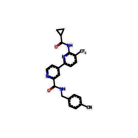 N#Cc1ccc(CNC(=O)c2cc(-c3ccc(C(F)(F)F)c(NC(=O)C4CC4)n3)ccn2)cc1